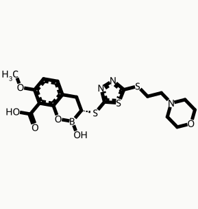 COc1ccc2c(c1C(=O)O)OB(O)[C@@H](Sc1nnc(SCCN3CCOCC3)s1)C2